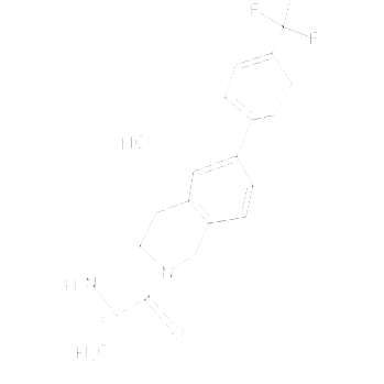 C[C@H](N)C(=O)N1CCc2cc(-c3ccc(C(F)(F)F)cc3)ccc2C1.Cl